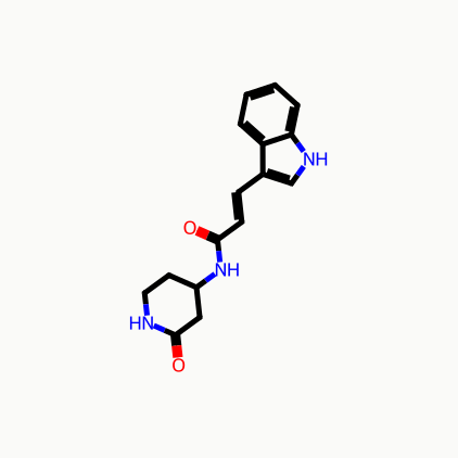 O=C(C=Cc1c[nH]c2ccccc12)NC1CCNC(=O)C1